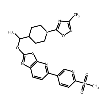 CC(Oc1nc2ccc(-c3ccc(S(C)(=O)=O)nc3)nc2s1)C1CCN(c2nc(C(F)(F)F)no2)CC1